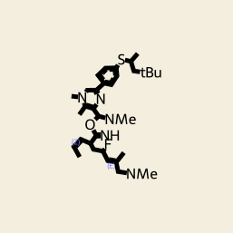 C/C=C\C(CC(F)/C=C(\C)CNC)C(=N)OC(NC)C1=C(C)N(C)CC(c2ccc(SC(C)CC(C)(C)C)cc2)=N1